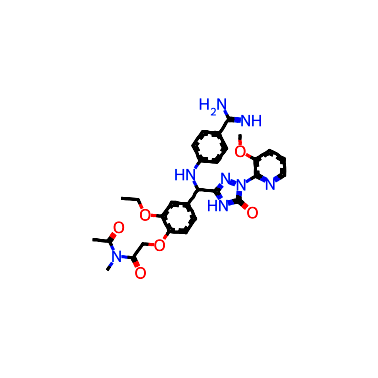 CCOc1cc(C(Nc2ccc(C(=N)N)cc2)c2nn(-c3ncccc3OC)c(=O)[nH]2)ccc1OCC(=O)N(C)C(C)=O